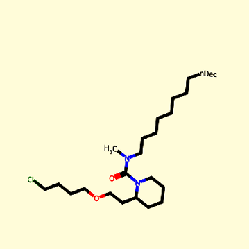 CCCCCCCCCCCCCCCCCCN(C)C(=O)N1CCCCC1CCOCCCCCl